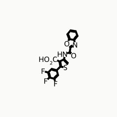 O=C(Nc1csc(-c2cc(F)c(F)c(F)c2)c1C(=O)O)c1nc2ccccc2o1